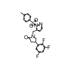 Cc1ccc(S(=O)(=O)n2nccc2CN2CC(c3cc(F)cc(F)c3F)CC2=O)cc1